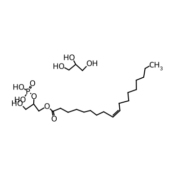 CCCCCCCC/C=C\CCCCCCCC(=O)OCC(CO)OP(=O)(O)O.OCC(O)CO